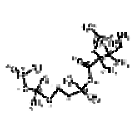 CCC(C)(C)C(C)(CC(C)C)C(=O)OC(C)(C)CCOC(C)(C)O[PH](=O)O